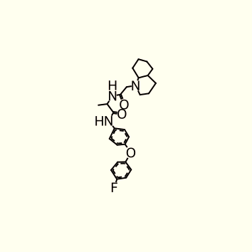 CC(NC(=O)CN1CCCC2CCCCC21)C(=O)Nc1ccc(Oc2ccc(F)cc2)cc1